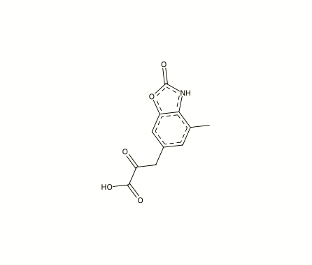 Cc1cc(CC(=O)C(=O)O)cc2oc(=O)[nH]c12